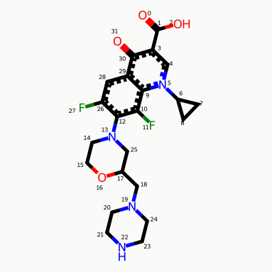 O=C(O)c1cn(C2CC2)c2c(F)c(N3CCOC(CN4CCNCC4)C3)c(F)cc2c1=O